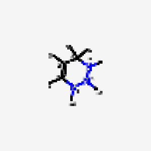 CC1=C(C)C(C)(C)N(C)N(C)N1C